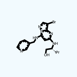 CC(C)[C@H](CO)Nc1cc(NCc2cccnc2)n2ncc(Br)c2n1